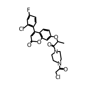 CC(Oc1ccc2c(-c3ccc(F)cc3Cl)cc(=O)oc2c1)C(=O)N1CCN(C(=O)CCl)CC1